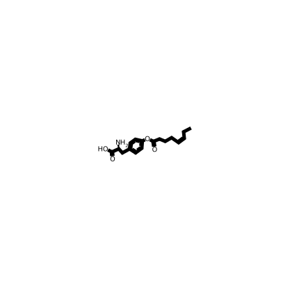 CC/C=C\CCCC(=O)Oc1ccc(C[C@H](N)C(=O)O)cc1